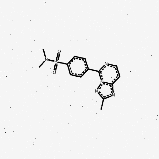 Cc1nc2ccnc(-c3ccc(S(=O)(=O)N(C)C)cc3)n2n1